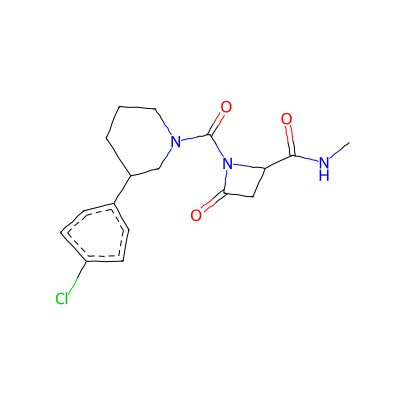 CNC(=O)C1CC(=O)N1C(=O)N1CCCC(c2ccc(Cl)cc2)C1